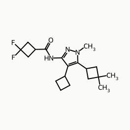 Cn1nc(NC(=O)C2CC(F)(F)C2)c(C2CCC2)c1C1CC(C)(C)C1